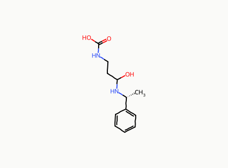 C[C@@H](NC(O)CCNC(=O)O)c1ccccc1